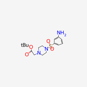 CC(C)(C)OC(=O)CN1CCN(S(=O)(=O)c2cccc(N)c2)CC1